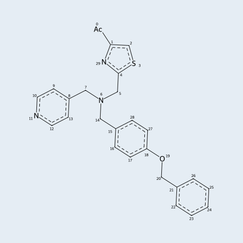 CC(=O)c1csc(CN(Cc2ccncc2)Cc2ccc(OCc3ccccc3)cc2)n1